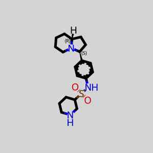 O=S(=O)(Nc1ccc([C@@H]2CC[C@H]3CCCCN32)cc1)C1CCCNC1